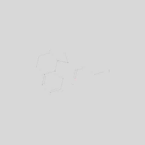 CCOC(=O)[C@H]1C[C@]12CCCc1ccccc12